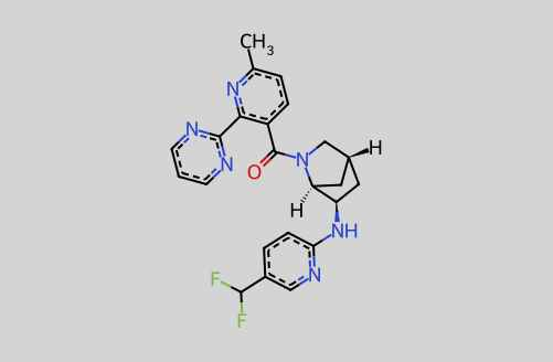 Cc1ccc(C(=O)N2C[C@@H]3C[C@@H](Nc4ccc(C(F)F)cn4)[C@@H]2C3)c(-c2ncccn2)n1